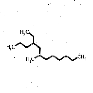 CCCCCCC(C)[CH]C(CC)CCC